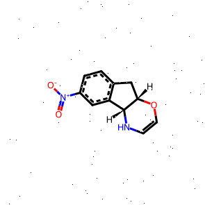 O=[N+]([O-])c1ccc2c(c1)[C@H]1NC=CO[C@H]1C2